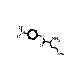 CSCCC(N)C(=O)Oc1ccc([N+](=O)[O-])cc1